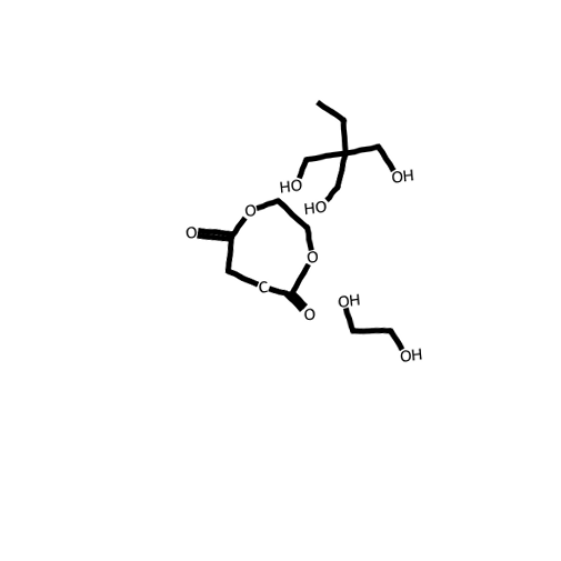 CCC(CO)(CO)CO.O=C1CCC(=O)OCCO1.OCCO